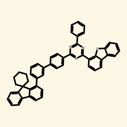 c1ccc(-c2nc(-c3ccc(-c4cccc(-c5cccc6c5C5(CCCCC5)c5ccccc5-6)c4)cc3)nc(-c3cccc4c3oc3ccccc34)n2)cc1